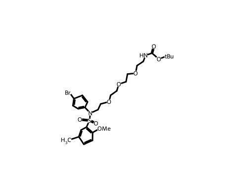 COc1ccc(C)cc1S(=O)(=O)N(CCOCCOCCOCCNC(=O)OC(C)(C)C)c1ccc(Br)cc1